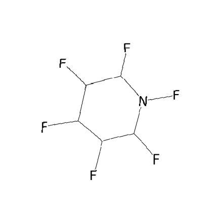 FC1C(F)C(F)N(F)C(F)C1F